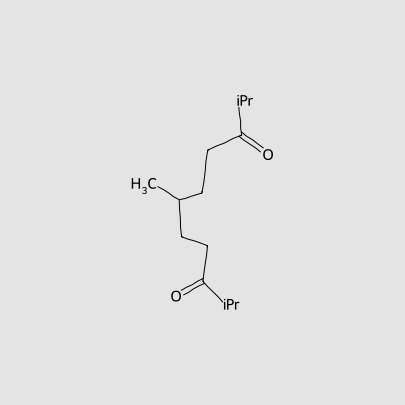 CC(CCC(=O)C(C)C)CCC(=O)C(C)C